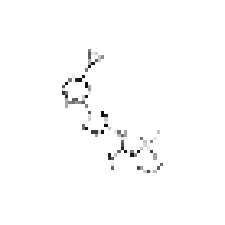 C=N/C(Nc1nc(-c2cc(C3CC3)ccn2)ns1)=C(\C=C/C)C(F)(F)F